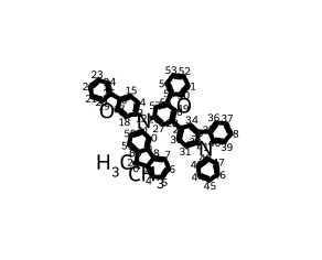 CC1(C)c2ccccc2-c2cc(N(c3ccc4c(c3)oc3ccccc34)c3cc(-c4ccc5c(c4)c4ccccc4n5-c4ccccc4)c4oc5ccccc5c4c3)ccc21